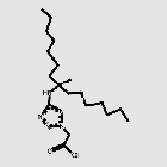 CCCCCCCC(C)(Bc1nnn(CC(=O)O)n1)CCCCCCC